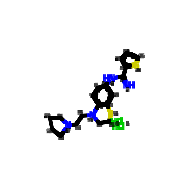 Cl.Cl.N=C(Nc1ccc2c(c1)SCCN2CCN1CCCC1)c1cccs1